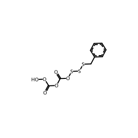 O=C(OO)OC(=O)OSSSCc1ccccc1